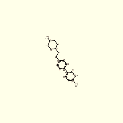 CCC1CCC(CCc2ccc(-c3ccc(Cl)nn3)cc2)CC1